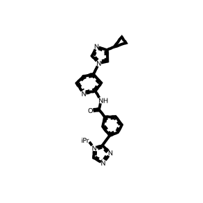 CC(C)n1cnnc1-c1cccc(C(=O)Nc2cc(-n3cnc(C4CC4)c3)ccn2)c1